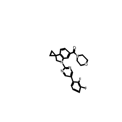 O=C(c1ccc2c(c1)N(c1ncc(-c3cccc(F)c3F)cn1)CC21CC1)N1CCOCC1